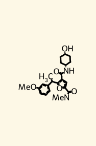 CNC(=O)c1cc(C(=O)N[C@H]2CC[C@H](O)CC2)c(C(C)c2cccc(OC)c2)o1